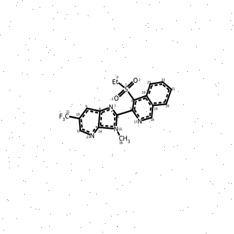 CCS(=O)(=O)c1c(-c2nc3cc(C(F)(F)F)cnc3n2C)ncc2ccccc12